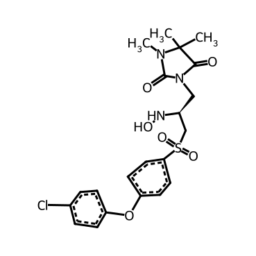 CN1C(=O)N(C[C@@H](CS(=O)(=O)c2ccc(Oc3ccc(Cl)cc3)cc2)NO)C(=O)C1(C)C